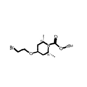 C[C@@H]1CC(OCCBr)C[C@H](C)N1C(=O)OC(C)(C)C